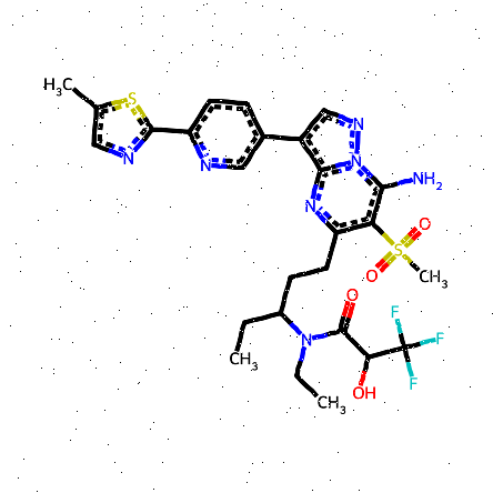 CCC(CCc1nc2c(-c3ccc(-c4ncc(C)s4)nc3)cnn2c(N)c1S(C)(=O)=O)N(CC)C(=O)C(O)C(F)(F)F